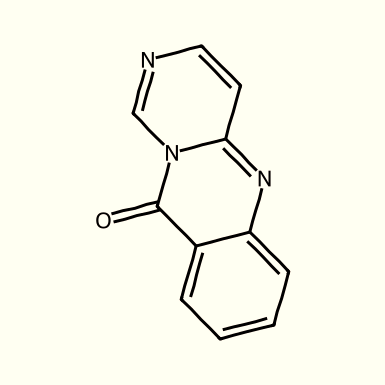 O=c1c2ccccc2nc2ccncn12